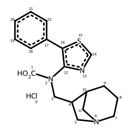 Cl.O=C(O)N(CC1CN2CCCC1C2)c1ncsc1-c1ccccc1